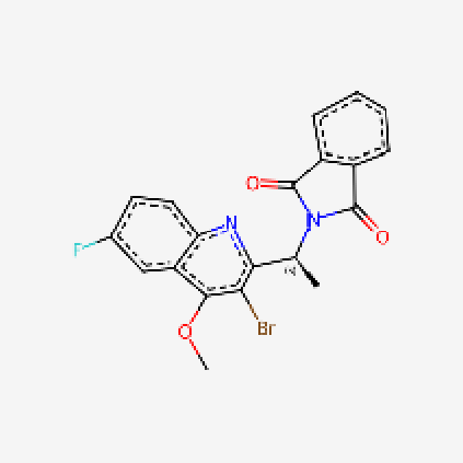 COc1c(Br)c([C@H](C)N2C(=O)c3ccccc3C2=O)nc2ccc(F)cc12